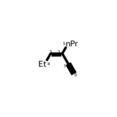 C#CC(=CCC)CCC